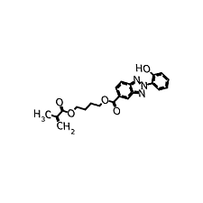 C=C(C)C(=O)OCCCCOC(=O)c1ccc2nn(-c3ccccc3O)nc2c1